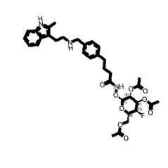 CC(=O)OC[C@H]1O[C@@H](ONC(=O)CCCc2ccc(CNCCc3c(C)[nH]c4ccccc34)cc2)[C@H](OC(C)=O)[C@@H](OC(C)=O)[C@H]1F